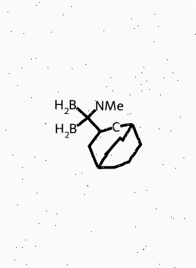 BC(B)(NC)C1CC2CCCCC(CCC2)C1